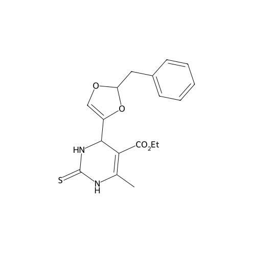 CCOC(=O)C1=C(C)NC(=S)NC1C1=COC(Cc2ccccc2)O1